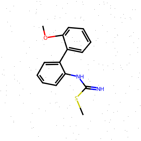 COc1ccccc1-c1ccccc1NC(=N)SC